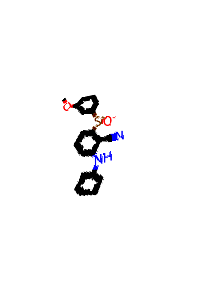 COc1cccc([S+]([O-])c2cccc(Nc3ccccc3)c2C#N)c1